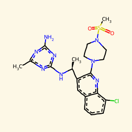 Cc1nc(N)nc(N[C@@H](C)c2cc3cccc(Cl)c3nc2N2CCN(S(C)(=O)=O)CC2)n1